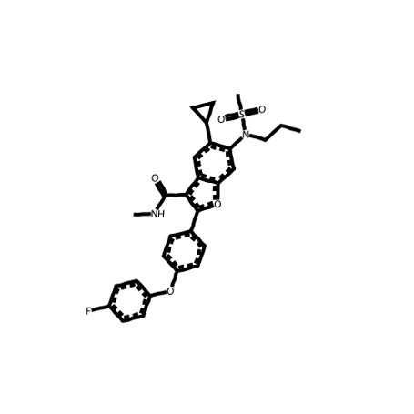 CCCN(c1cc2oc(-c3ccc(Oc4ccc(F)cc4)cc3)c(C(=O)NC)c2cc1C1CC1)S(C)(=O)=O